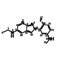 CCNc1cnc2nn(-c3cc(NC)ccc3F)cc2c1